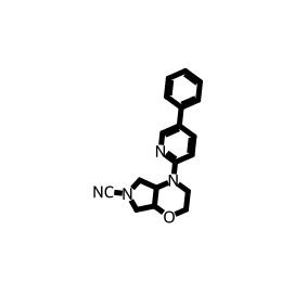 N#CN1CC2OCCN(c3ccc(-c4ccccc4)cn3)C2C1